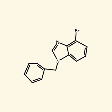 Brc1cccc2c1ncn2Cc1ccccc1